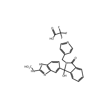 O=C(O)C(F)(F)F.O=C(O)Nc1nc2cc(C3(O)c4ccccc4C(=O)N3Cc3ccncc3)ccc2[nH]1